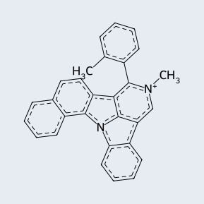 Cc1ccccc1-c1c2c3ccc4ccccc4c3n3c4ccccc4c(c[n+]1C)c23